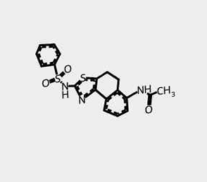 CC(=O)Nc1cccc2c1CCc1sc(NS(=O)(=O)c3ccccc3)nc1-2